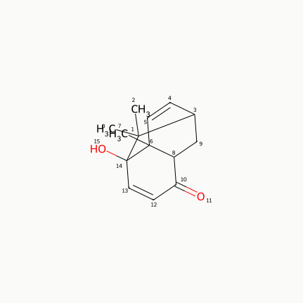 CC1(C)C2C=CC3(C)C(C2)C(=O)C=CC13O